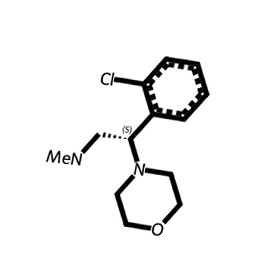 CNC[C@H](c1ccccc1Cl)N1CCOCC1